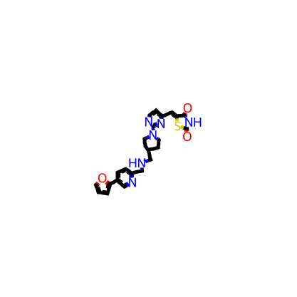 O=C1NC(=O)C(=Cc2ccnc(N3CCC(CNCc4ccc(-c5ccco5)cn4)CC3)n2)S1